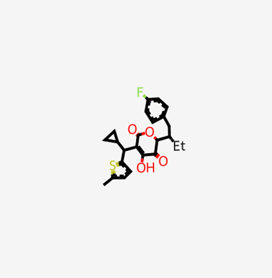 CCC(Cc1ccc(F)cc1)C1OC(=O)C(C(c2ccc(C)s2)C2CC2)=C(O)C1=O